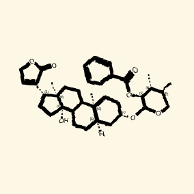 C[C@H]1[C@H](OC(=O)c2ccccc2)C(O[C@H]2CC[C@]3(C)C4CC[C@]5(C)[C@@H](C6=CCOC6=O)CC[C@]5(O)C4CC[C@@H]3C2)OC[C@@H]1C